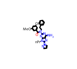 CCCn1c(-n2cccn2)nc2c(N)nc(N(CCc3ccccc3)C(=O)c3cc(OC)cc(OC)c3)nc21